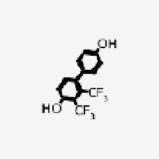 Oc1ccc(-c2ccc(O)c(C(F)(F)F)c2C(F)(F)F)cc1